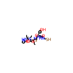 CCCO[C@H](C[C@H](C(C)C)N(CCC)C(=O)[C@@H](NC(=O)[C@H]1CCCCN1C)[C@@H](C)CC)c1nc(C(=O)N[C@@H](Cc2ccc(O)cc2)C[C@H](C)C(=O)NCCS)cs1